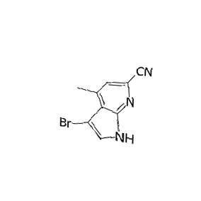 Cc1cc(C#N)nc2[nH]cc(Br)c12